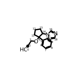 C#CCOC1(c2ccccc2)CCCC1n1cncn1